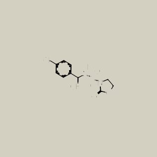 O=C1OCCN1S(=O)(=O)NC(c1ccc(Cl)cc1)C(F)(F)F